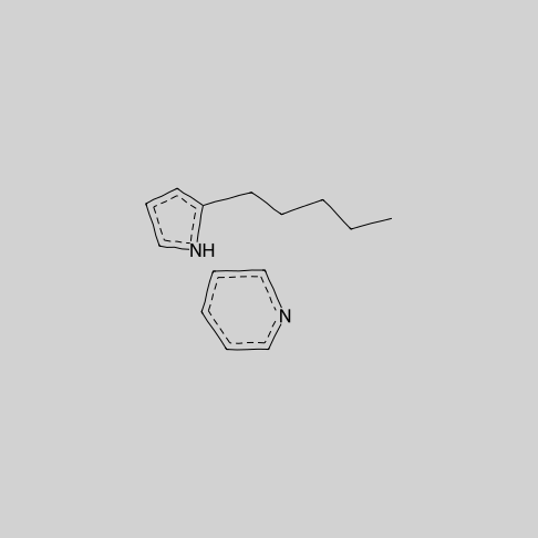 CCCCCc1ccc[nH]1.c1ccncc1